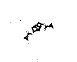 O=C(OC1Cc2nc1cc1c2CC1OC(=O)C1CC1)C1CC1